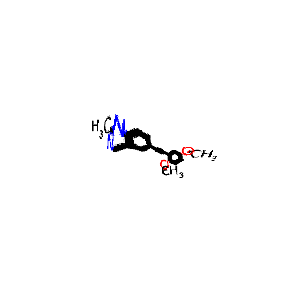 COc1ccc(OC)c(C#Cc2ccc3nc(C)ncc3c2)c1